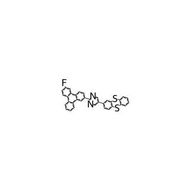 Fc1ccc2c3ccccc3c3cc(-c4ncc(-c5ccc6c(c5)Sc5ccccc5S6)cn4)ccc3c2c1